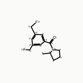 CC1CCCN1C(=O)c1cc(CF)cc(CF)c1